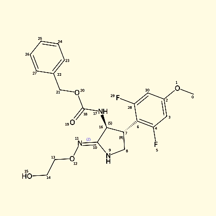 COc1cc(F)c([C@@H]2CN/C(=N\OCCO)[C@H]2NC(=O)OCc2ccccc2)c(F)c1